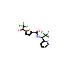 O=C(NC(c1ccccn1)C(F)(F)F)c1ccc(C(=O)C(F)(F)F)s1